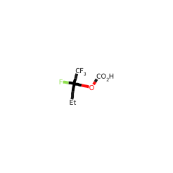 CCC(F)(OC(=O)O)C(F)(F)F